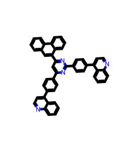 c1ccc2c(c1)cc(-c1cc(-c3ccc(-c4ccnc5ccccc45)cc3)nc(-c3ccc(-c4ccnc5ccccc45)cc3)n1)c1ccccc12